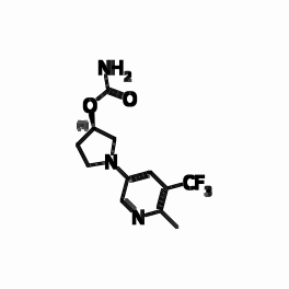 Cc1ncc(N2CC[C@@H](OC(N)=O)C2)cc1C(F)(F)F